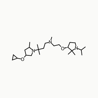 CC1CC(OC2CC2)CN1C(C)(C)CCN(C)CCO[C@H]1CCN(C(C)C)C1(C)C